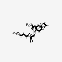 COCCCOC(=O)Cn1nc(C(F)(F)F)c2c1CCC1(C2)OCCO1